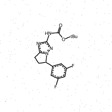 CC(C)(C)OC(=O)Nc1nc2n(n1)C(c1cc(F)cc(F)c1)CC2